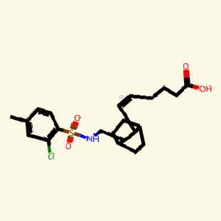 Cc1ccc(S(=O)(=O)NCC2C3CCC(CC3)C2/C=C\CCCC(=O)O)c(Cl)c1